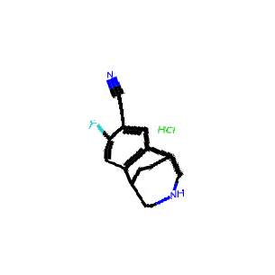 Cl.N#Cc1cc2c(cc1F)C1CNCC2C1